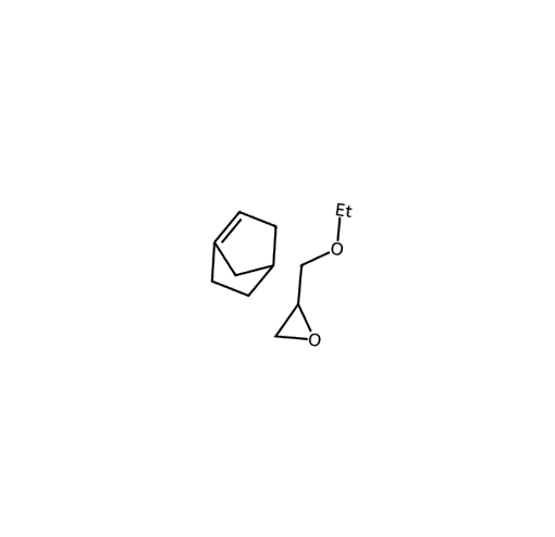 C1=C2CCC(C1)C2.CCOCC1CO1